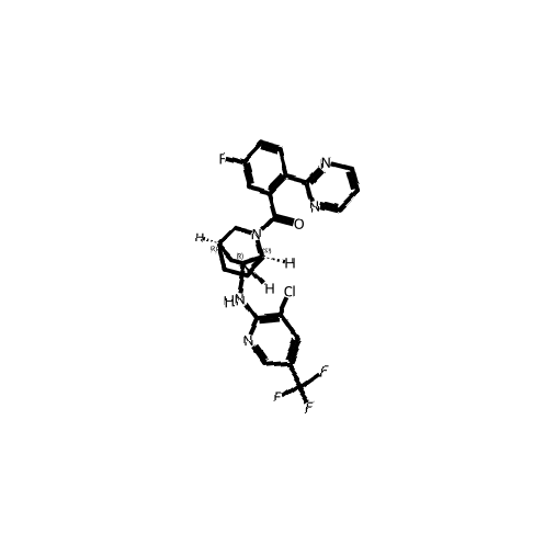 O=C(c1cc(F)ccc1-c1ncccn1)N1C[C@@H]2CC[C@H]1[C@H](Nc1ncc(C(F)(F)F)cc1Cl)C2